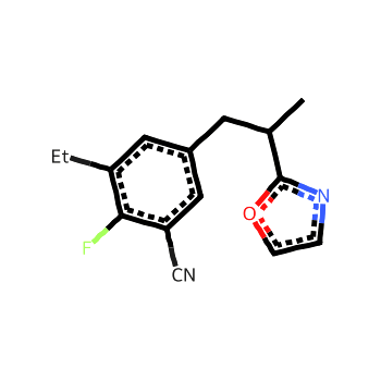 CCc1cc(CC(C)c2ncco2)cc(C#N)c1F